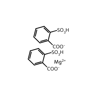 O=C([O-])c1ccccc1S(=O)(=O)O.O=C([O-])c1ccccc1S(=O)(=O)O.[Mg+2]